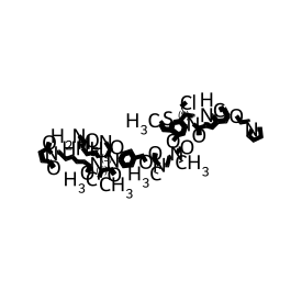 Cc1cc2c(OC(=O)N(C)CCN(C)C(=O)OCc3ccc(N(C(=O)[C@@H](NC(=O)CCCCCN4C(=O)C=CC4=O)C(C)C)[C@@H](CCCNC(N)=O)C(N)=O)cc3)cc3c(c2s1)[C@H](CCl)CN3C(=O)c1cc2cc(OCCN3CCCC3)ccc2[nH]1